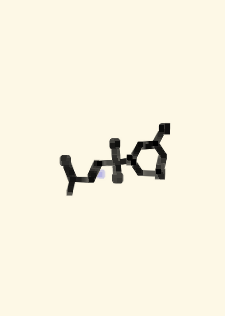 CC(=O)/C=C/S(=O)(=O)N1C=C(Cl)C=NC1